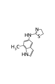 Cc1cc(NC2=NCCS2)cc2cc[nH]c12